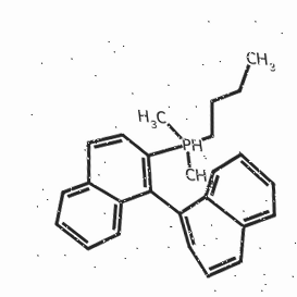 CCCC[PH](C)(C)c1ccc2ccccc2c1-c1cccc2ccccc12